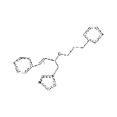 C(=C\C(Cn1ccnc1)OCCCc1ccccc1)/c1ccccc1